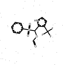 O=COC(c1[nH]ccc1C(F)(F)F)S(=O)(=O)c1ccccc1